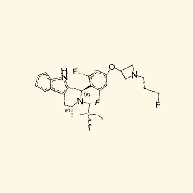 CCC(C)(F)CN1[C@H](c2c(F)cc(OC3CN(CCCF)C3)cc2F)c2[nH]c3ccccc3c2C[C@H]1C